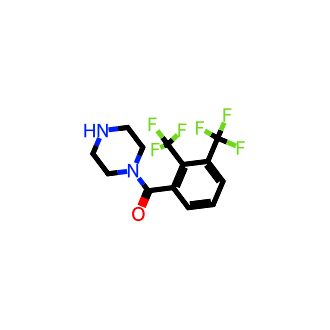 O=C(c1cccc(C(F)(F)F)c1C(F)(F)F)N1CCNCC1